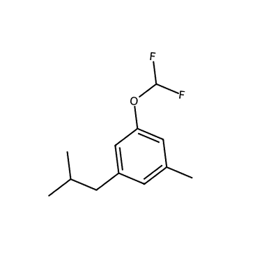 Cc1cc(CC(C)C)cc(OC(F)F)c1